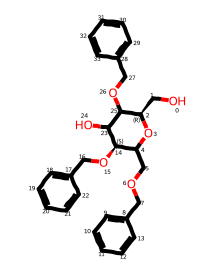 OC[C@H]1OC(COCc2ccccc2)[C@@H](OCc2ccccc2)C(O)C1OCc1ccccc1